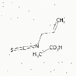 C=CCN=C=S.CC(=O)O